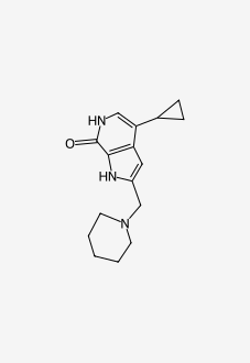 O=c1[nH]cc(C2CC2)c2cc(CN3CCCCC3)[nH]c12